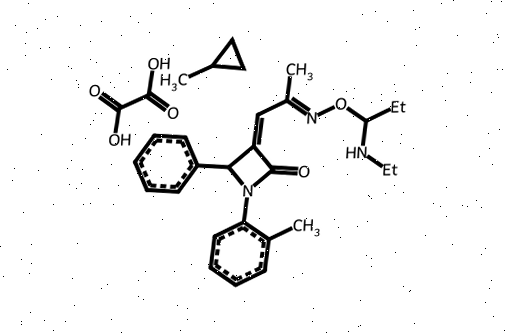 CC1CC1.CCNC(CC)ON=C(C)C=C1C(=O)N(c2ccccc2C)C1c1ccccc1.O=C(O)C(=O)O